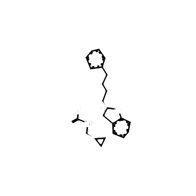 CC(C)C(=O)NC[C@@H]1C[C@H]1c1cccc2c1C[C@@H](CCCCc1ccccc1)O2